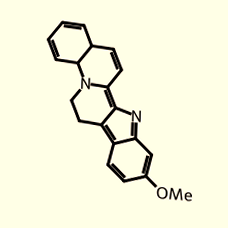 COc1ccc2c(c1)=NC1=C3C=CC4C=CC=CC4N3CCC=21